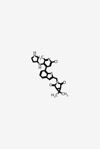 Cc1nc(Cl)cc(-c2cccc3cc(CN4C(=O)C5C(C4=O)C5(C)C)sc23)c1NC1CCNC1